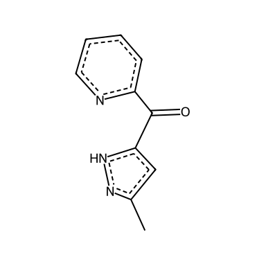 Cc1cc(C(=O)c2ccccn2)[nH]n1